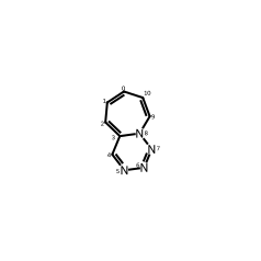 C1=CC=C2C=NN=NN2C=C1